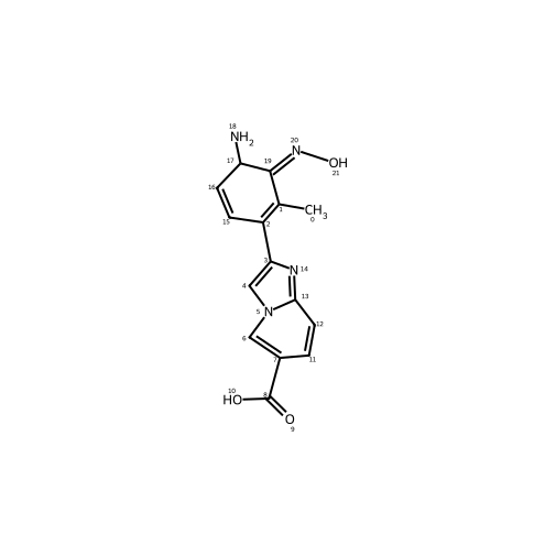 CC1=C(c2cn3cc(C(=O)O)ccc3n2)C=CC(N)C1=NO